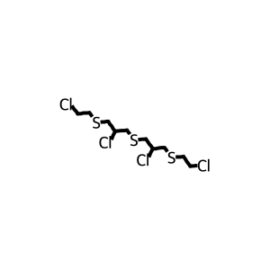 ClCCSCC(Cl)CSCC(Cl)CSCCCl